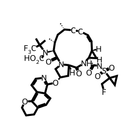 C[C@@H]1CC/C=C\[C@@H]2C[C@@]2(C(=O)NS(=O)(=O)C2(CF)CC2)NC(=O)[C@@H]2C[C@@H](Oc3nccc4c5c(ccc34)CCCO5)CN2C(=O)[C@@H](N(C(=O)O)C(C)(C)C(F)(F)F)[C@H](C)C1